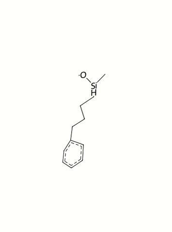 C[SiH]([O])CCCCc1ccccc1